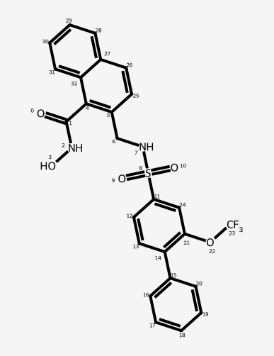 O=C(NO)c1c(CNS(=O)(=O)c2ccc(-c3ccccc3)c(OC(F)(F)F)c2)ccc2ccccc12